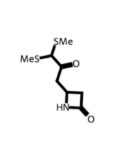 CSC(SC)C(=O)CC1CC(=O)N1